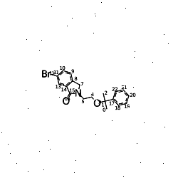 CC(C)(OCCN1Cc2ccc(Br)cc2C1=O)c1ccccc1